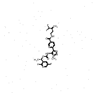 C=C(CCNC(=O)c1ccc(-c2nnn(C)c2NC(=O)O[C@H](C)c2cc(F)cnc2F)nc1)C(F)F